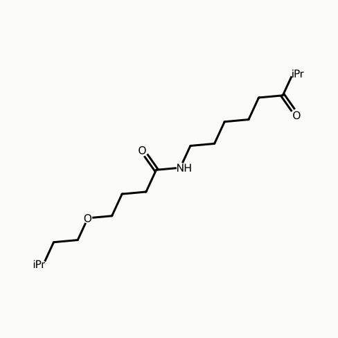 CC(C)CCOCCCC(=O)NCCCCCC(=O)C(C)C